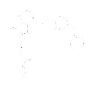 O=CNC(=O)CCCN1Cc2c(OCc3ccc(CN4CCOCC4)cc3)cccc2C1=O